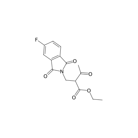 CCOC(=O)C(CN1C(=O)c2ccc(F)cc2C1=O)C(C)=O